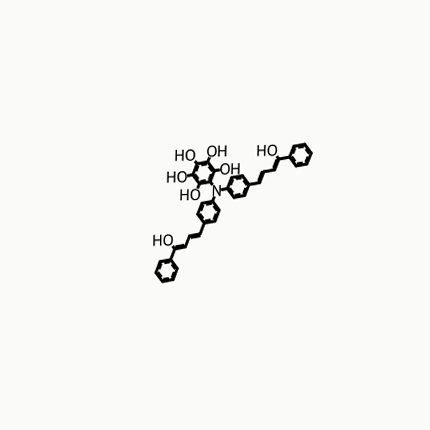 O/C(=C\C=C\c1ccc(N(c2ccc(/C=C/C=C(\O)c3ccccc3)cc2)c2c(O)c(O)c(O)c(O)c2O)cc1)c1ccccc1